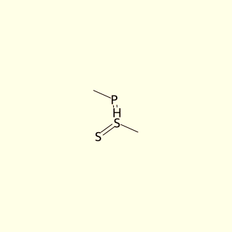 CP=[SH](C)=S